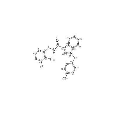 O=C(NCc1cccc(F)c1F)c1nn(Cc2ccc(Cl)cc2)c2ccccc12